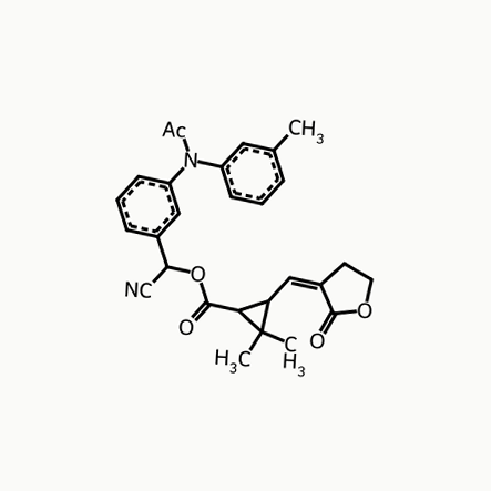 CC(=O)N(c1cccc(C)c1)c1cccc(C(C#N)OC(=O)C2C(C=C3CCOC3=O)C2(C)C)c1